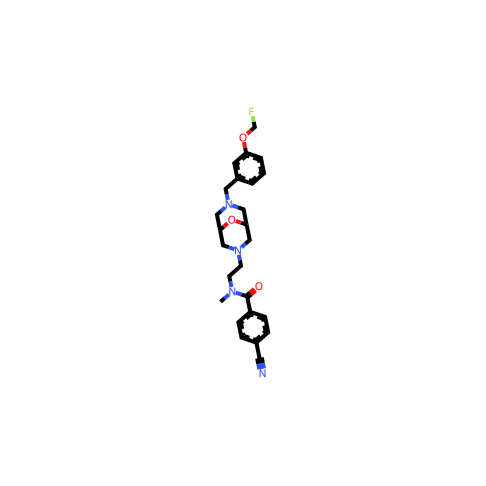 CN(CCN1CC2CN(Cc3cccc(OCF)c3)CC(C1)O2)C(=O)c1ccc(C#N)cc1